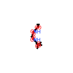 C=C(C)C(=O)OCCNC(=O)OCC(C)OC(=O)NCCC[Si](OCC)(OCC)OCC